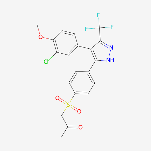 COc1ccc(-c2c(C(F)(F)F)n[nH]c2-c2ccc(S(=O)(=O)CC(C)=O)cc2)cc1Cl